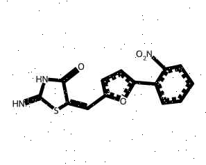 N=C1NC(=O)/C(=C\c2ccc(-c3ccccc3[N+](=O)[O-])o2)S1